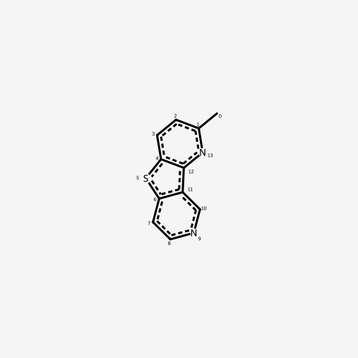 Cc1ccc2sc3ccncc3c2n1